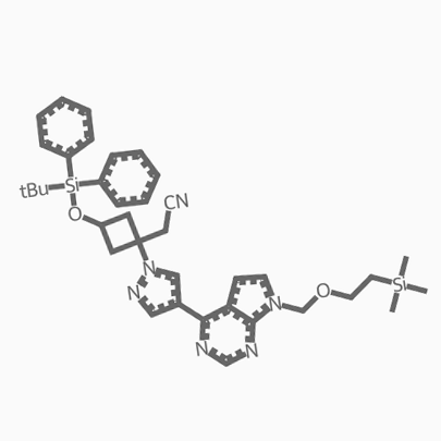 CC(C)(C)[Si](OC1CC(CC#N)(n2cc(-c3ncnc4c3ccn4COCC[Si](C)(C)C)cn2)C1)(c1ccccc1)c1ccccc1